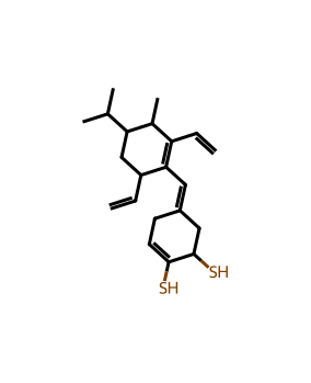 C=CC1=C(/C=C2\CC=C(S)C(S)C2)C(C=C)CC(C(C)C)C1C